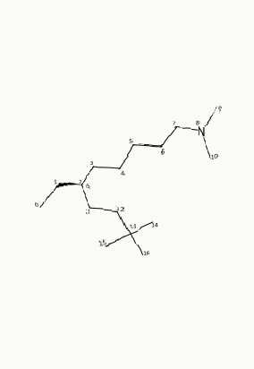 CC[C@@H](CCCCCN(C)C)CCC(C)(C)C